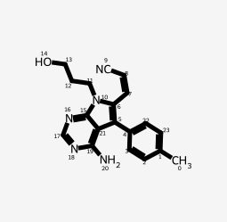 Cc1ccc(-c2c(/C=C\C#N)n(CCCO)c3ncnc(N)c23)cc1